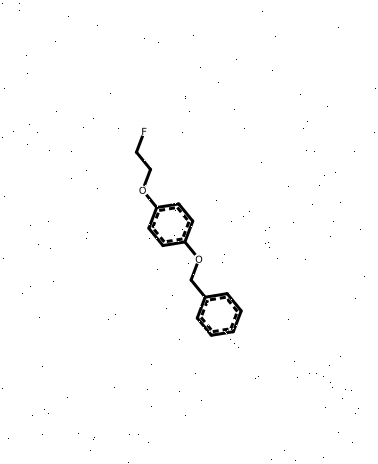 FCCOc1ccc(OCc2ccccc2)cc1